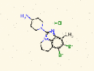 Cc1c(Br)c(Br)c2c3c1nc(N1CCC(N)CC1)n3CCC2.Cl